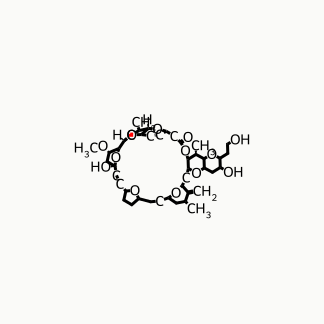 C=C1C(C)CC2CCC3CCC(CC[C@]4(O)C[C@@H](OC)C(O4)[C@H]4CC(C)[C@H]5OC(CCC5O4)CC(=O)OC4C(CC1O2)OC1CC(O)C(CCO)OC1[C@@H]4C)O3